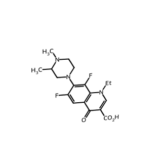 CCn1cc(C(=O)O)c(=O)c2cc(F)c(N3CCN(C)C(C)C3)c(F)c21